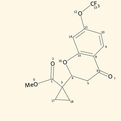 COC(=O)C1(C2CC(=O)c3ccc(OC(F)(F)F)cc3O2)CC1